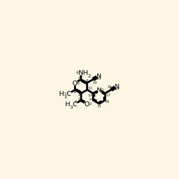 CC(=O)C1=C(C)OC(N)=C(C#N)C1c1cccc(C#N)n1